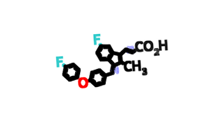 CC1=C(/C=C/C(=O)O)c2cc(F)ccc2/C1=C\c1ccc(Oc2ccc(F)cc2)cc1